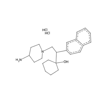 Cl.Cl.NC1CCN(CC(c2ccc3ccccc3c2)C2(O)CCCCC2)CC1